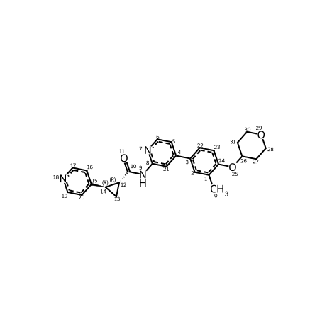 Cc1cc(-c2ccnc(NC(=O)[C@@H]3C[C@H]3c3ccncc3)c2)ccc1OC1CCOCC1